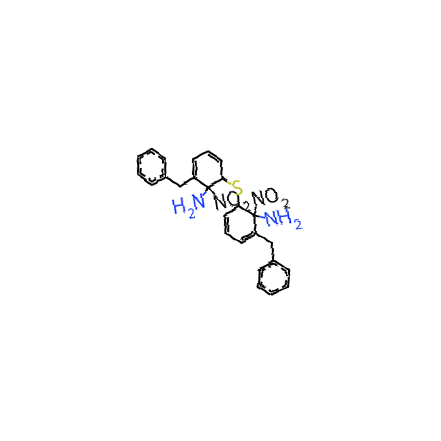 NC1([N+](=O)[O-])C(Cc2ccccc2)=CC=CC1SC1C=CC=C(Cc2ccccc2)C1(N)[N+](=O)[O-]